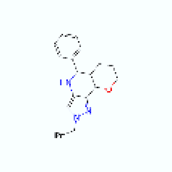 CC(C)Cn1cc2c(n1)C1OCCCC1C(c1ccccc1)N2